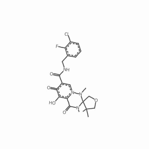 CN1C(=O)c2c(O)c(=O)c(C(=O)NCc3cccc(Cl)c3F)cn2N(C)C12COCC2(C)C